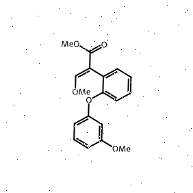 CO/C=C(/C(=O)OC)c1ccccc1Oc1cccc(OC)c1